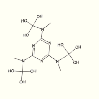 CN(c1nc(N(C)C(O)(O)O)nc(N(C)C(O)(O)O)n1)C(O)(O)O